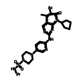 CC(=O)c1c(C)c2cnc(Nc3ccc(N4CCN(S(=O)(=O)NC(C)C)CC4)cn3)nc2n(C2CCCC2)c1=O